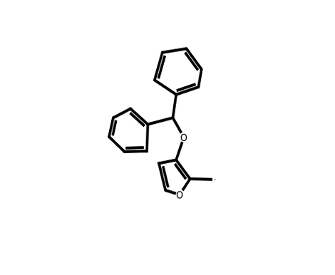 [CH2]c1occc1OC(c1ccccc1)c1ccccc1